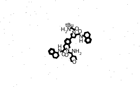 CC(C)(C)C(N)C(=O)N1CC(c2ccc3c(c2)CN(C(=O)C(N)C2CCOCC2)C(C(=O)NC2CCCc4ccccc42)C3)CC1C(=O)NC1CCCc2ccccc21